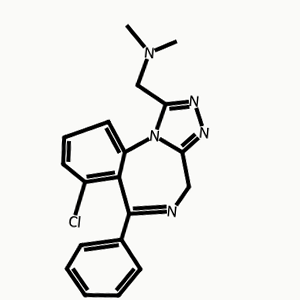 CN(C)Cc1nnc2n1-c1cccc(Cl)c1C(c1ccccc1)=NC2